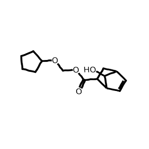 O=C(OCOC1CCCC1)C1CC2C=CC1C2O